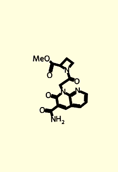 COC(=O)C1CCN1C(=O)Cn1c(=O)c(C(N)=O)cc2cccnc21